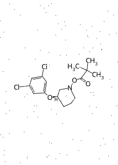 CC(C)(C)C(=O)ON1CCC[C@@H](Oc2cc(Cl)cc(Cl)c2)C1